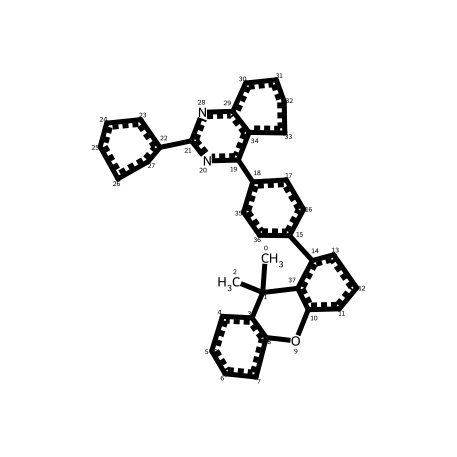 CC1(C)c2ccccc2Oc2cccc(-c3ccc(-c4nc(-c5ccccc5)nc5ccccc45)cc3)c21